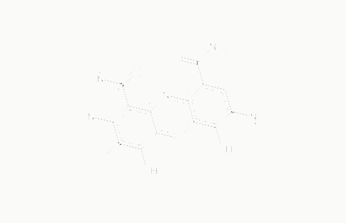 Cc1c2oc3c(C)c([N+](=O)[O-])cc(C(N)=O)c3nc-2c(C(N)=O)c(N)c1=O